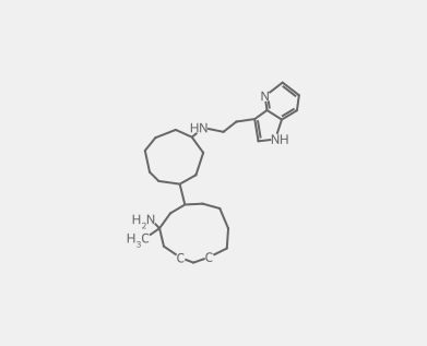 CC1(N)CCCCCCCCC(C2CCCCCC(NCCc3c[nH]c4cccnc34)CC2)C1